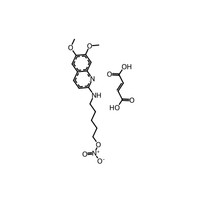 COc1cc2ccc(NCCCCCO[N+](=O)[O-])nc2cc1OC.O=C(O)/C=C/C(=O)O